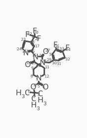 CC(C)(C)OC(=O)N1CCC2(CC1)C(=O)N(c1cc(C(F)(F)F)ccn1)C(=O)N2Cc1ccc(F)c(F)c1